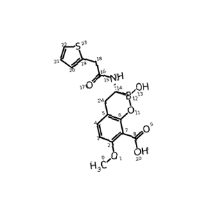 COc1ccc2c(c1C(=O)O)OB(O)[C@@H](NC(=O)Cc1cccs1)C2